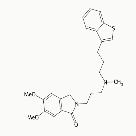 COc1cc2c(cc1OC)C(=O)N(CCCN(C)CCCc1csc3ccccc13)C2